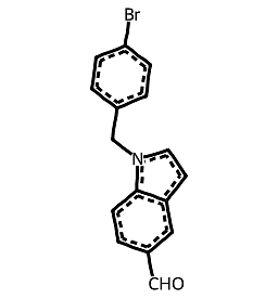 O=Cc1ccc2c(ccn2Cc2ccc(Br)cc2)c1